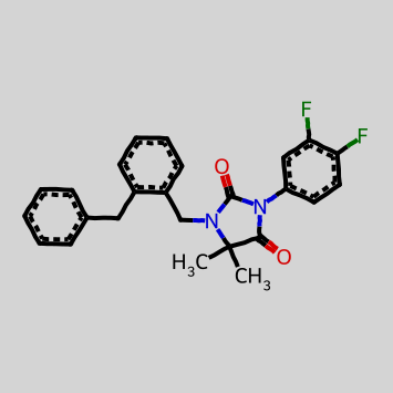 CC1(C)C(=O)N(c2ccc(F)c(F)c2)C(=O)N1Cc1ccccc1Cc1ccccc1